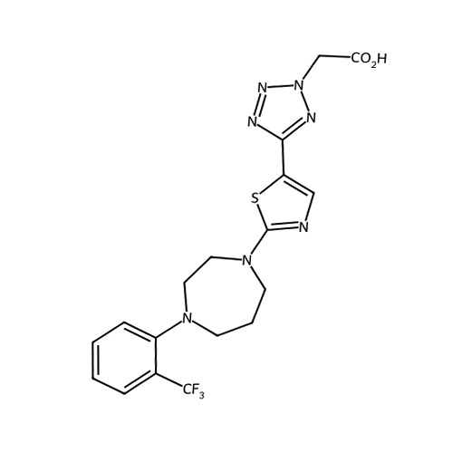 O=C(O)Cn1nnc(-c2cnc(N3CCCN(c4ccccc4C(F)(F)F)CC3)s2)n1